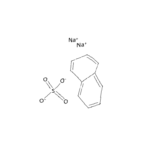 O=S(=O)([O-])[O-].[Na+].[Na+].c1ccc2ccccc2c1